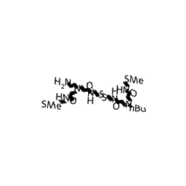 CCCCN(CCC(=O)NCCSC)CCC(=O)NCCSSCCNC(=O)CCN(CCN)CCC(=O)NCCSC